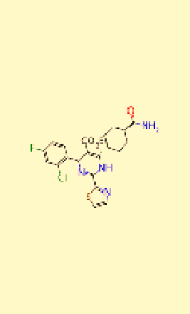 CCOC(=O)C1=C([C@H]2CC[C@H](C(N)=O)CC2)NC(c2nccs2)=NC1c1ccc(F)cc1Cl